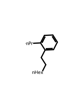 CC[CH]c1ccccc1CCCCCCCC